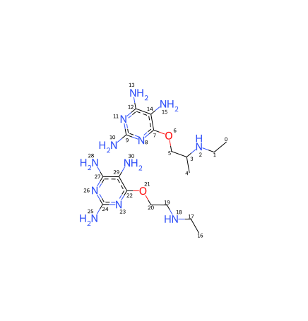 CCNC(C)COc1nc(N)nc(N)c1N.CCNCCOc1nc(N)nc(N)c1N